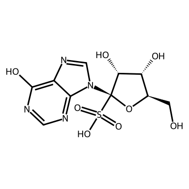 O=S(=O)(O)[C@@]1(n2cnc3c(O)ncnc32)O[C@H](CO)[C@@H](O)[C@H]1O